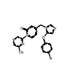 N#Cc1cncc(-n2ccc(Cn3cncc3Oc3ccc(Br)cc3)cc2=O)n1